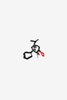 CC(C)[C@H]1CC(=O)[C@H](C)[C@@H](c2ccccc2)C1